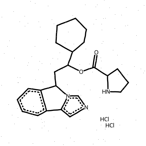 Cl.Cl.O=C(OC(CC1c2ccccc2-c2cncn21)C1CCCCC1)C1CCCN1